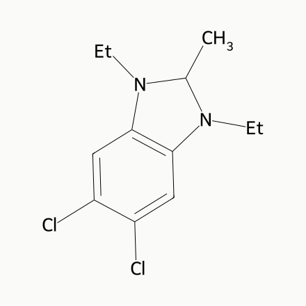 CCN1c2cc(Cl)c(Cl)cc2N(CC)C1C